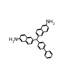 Nc1ccc2cc(C(c3ccc(-c4ccccc4)cc3)c3ccc4cc(N)ccc4c3)ccc2c1